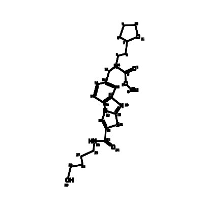 CC(C)(C)OC(=O)N(CCC1CCCO1)Cc1ccc2c(c1)nc1sc(C(=O)NCCCCO)cn12